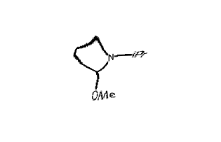 COC1CCN1C(C)C